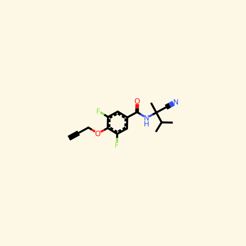 C#CCOc1c(F)cc(C(=O)NC(C)(C#N)C(C)C)cc1F